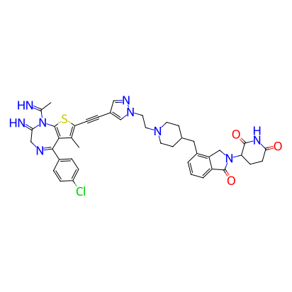 CC(=N)N1C(=N)CN=C(c2ccc(Cl)cc2)c2c1sc(C#Cc1cnn(CCN3CCC(Cc4cccc5c4CN(C4CCC(=O)NC4=O)C5=O)CC3)c1)c2C